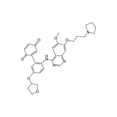 COc1cc2c(Nc3ccc(OC4CCOC4)cc3C3=CC(=O)C=CC3=O)ncnc2cc1OCCCN1CCCC1